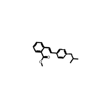 COC(=O)c1ccccc1C=Cc1ccc(CC(C)C)cc1